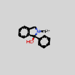 CCCN1Cc2ccccc2C1(O)c1ccccc1